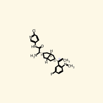 C=Nc1ccc(F)cc1/C(=C\C)[C@@H]1C[C@@H]2C[C@H](C(N)C(=O)Nc3ccc(Cl)nc3)C[C@@H]2C1